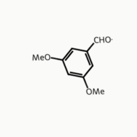 COc1cc([C]=O)cc(OC)c1